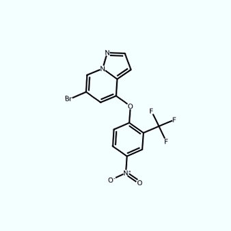 O=[N+]([O-])c1ccc(Oc2cc(Br)cn3nccc23)c(C(F)(F)F)c1